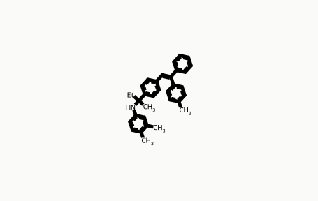 CCC(C)(Nc1ccc(C)c(C)c1)c1ccc(C=C(c2ccccc2)c2ccc(C)cc2)cc1